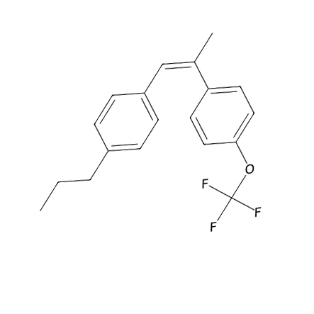 CCCc1ccc(C=C(C)c2ccc(OC(F)(F)F)cc2)cc1